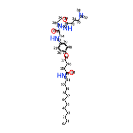 CCCCCCCCCCCCNC(=O)CCCOc1ccc(NCC(=O)N(CC)NC(=O)CCCN(C)C)cc1